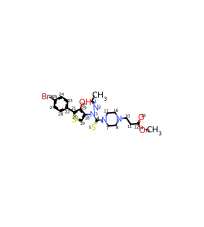 CC=NN(C(=S)N1CCN(CCC(=O)OC)CC1)c1csc(-c2ccc(Br)cc2)c1O